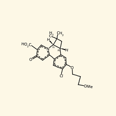 COCCCOc1cc2c(cc1Cl)-c1cc(=O)c(C(=O)O)cn1[C@H]1[C@@H]2CC1(C)C